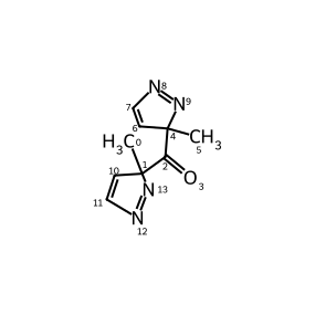 CC1(C(=O)C2(C)C=CN=N2)C=CN=N1